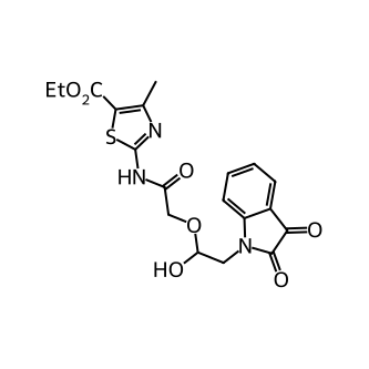 CCOC(=O)c1sc(NC(=O)COC(O)CN2C(=O)C(=O)c3ccccc32)nc1C